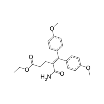 CCOC(=O)CCC(C(N)=O)=C(c1ccc(OC)cc1)c1ccc(OC)cc1